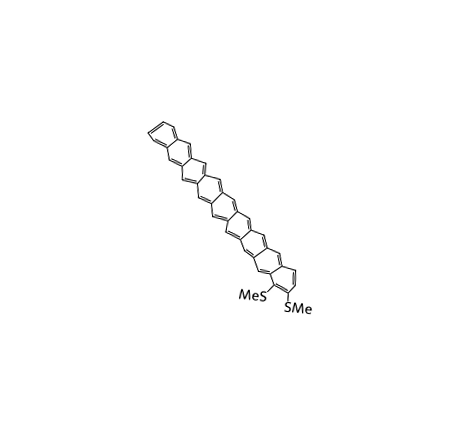 CSc1ccc2cc3cc4cc5cc6cc7cc8cc9ccccc9cc8cc7cc6cc5cc4cc3cc2c1SC